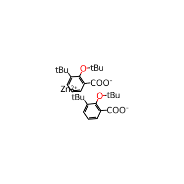 CC(C)(C)Oc1c(C(=O)[O-])cccc1C(C)(C)C.CC(C)(C)Oc1c(C(=O)[O-])cccc1C(C)(C)C.[Zn+2]